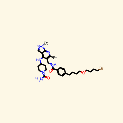 CCc1nc2c(cnn2CC)c(NC2CCN(C(N)=O)CC2)c1CNC(=O)c1ccc(CCCCOCCCCBr)cc1